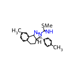 CSC(=N)N1N=C2c3cc(C)ccc3CC[C@H]2[C@H]1c1ccc(C)cc1